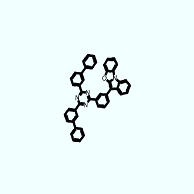 c1ccc(-c2cccc(-c3nc(-c4cccc(-c5ccccc5)c4)nc(-c4cccc(-c5c6ccccc6n6c5oc5ccccc56)c4)n3)c2)cc1